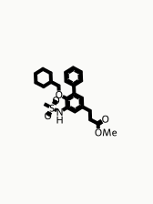 COC(=O)CCc1cc(NS(C)(=O)=O)c(OCC2CCCCC2)c(-c2ccccc2)c1